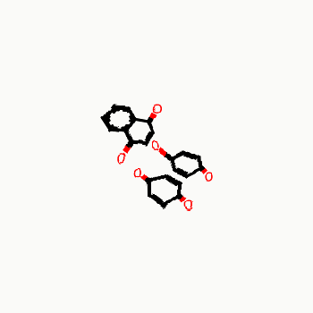 O=C1C=CC(=O)C=C1.O=C1C=CC(=O)C=C1.O=C1C=CC(=O)c2ccccc21